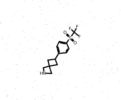 O=S(=O)(c1ccc(C2CC3(CNC3)C2)cc1)C(F)(F)F